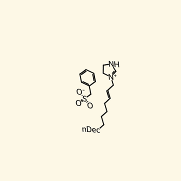 CCCCCCCCCCCCCCC=CC[N+]1=CNCC1.O=S(=O)([O-])Cc1ccccc1